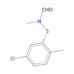 Cc1ccc(Cl)cc1SN(C)C=O